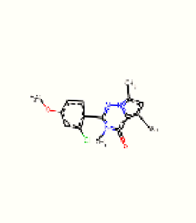 CCC(C)c1cc(C)n2nc(-c3ccc(OC(F)(F)F)cc3Cl)n(C)c(=O)c12